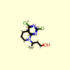 [2H]C(CCO)N1CCCc2c(Cl)nc(Cl)nc21